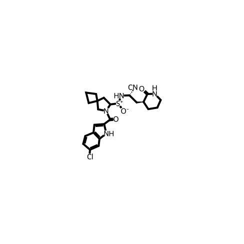 N#C[C@H](C[C@@H]1CCCNC1=O)N[S+]([O-])C1CC2(CCC2)CN1C(=O)c1cc2ccc(Cl)cc2[nH]1